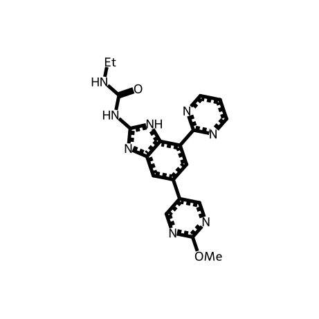 CCNC(=O)Nc1nc2cc(-c3cnc(OC)nc3)cc(-c3ncccn3)c2[nH]1